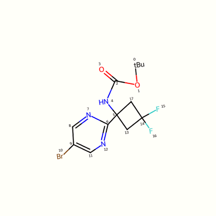 CC(C)(C)OC(=O)NC1(c2ncc(Br)cn2)CC(F)(F)C1